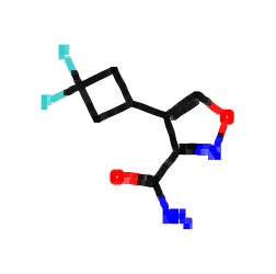 NC(=O)c1nocc1C1CC(F)(F)C1